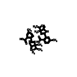 Cc1ccc(C(=O)O)c(C2=NC(C)(C(C)C)C(=O)N2)c1.Cc1ccc(C2=NC(C)(C(C)C)C(=O)N2)c(C(=O)O)c1